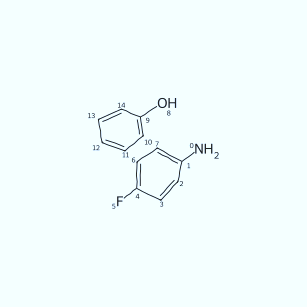 Nc1ccc(F)cc1.Oc1ccccc1